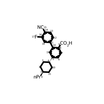 CCC[C@H]1CC[C@H](c2ccc(C(=O)O)c(-c3ccc(C#N)c(F)c3)c2)CC1